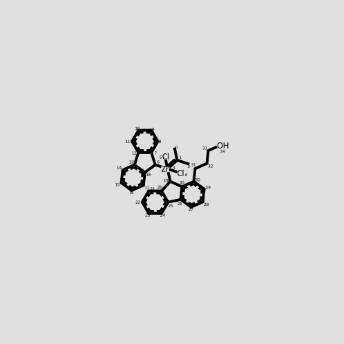 C[C](C)=[Zr]([Cl])([Cl])([CH]1c2ccccc2-c2ccccc21)[CH]1c2ccccc2-c2cccc(CCCO)c21